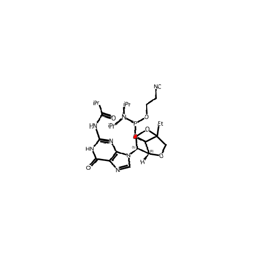 [C-]#[N+]CCOP(OC1[C@@H]2OCC1(CC)OC[C@@H]2n1cnc2c(=O)[nH]c(NC(=O)C(C)C)nc21)N(C(C)C)C(C)C